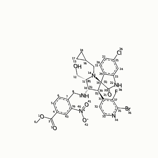 COC(=O)c1ccc(CN[C@@H]2[C@H](CO)N(CC3CC3)[C@@]3(C(=O)Nc4cc(Cl)ccc43)[C@H]2c2ccnc(Br)c2F)c([N+](=O)[O-])c1